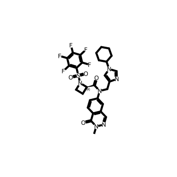 Cn1ncc2cc(N(Cc3cn(C4CCCCC4)cn3)C(=O)[C@H]3CCN3S(=O)(=O)c3c(F)c(F)c(F)c(F)c3F)ccc2c1=O